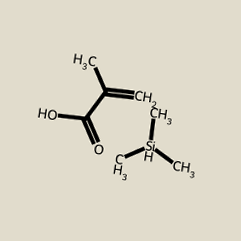 C=C(C)C(=O)O.C[SiH](C)C